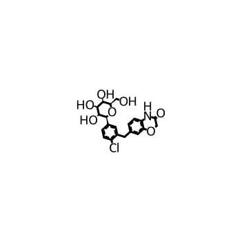 O=C1COc2cc(Cc3cc([C@@H]4O[C@H](CO)[C@@H](O)[C@H](O)[C@H]4O)ccc3Cl)ccc2N1